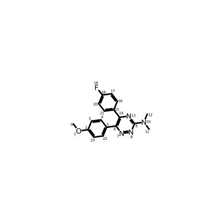 COc1ccc(-c2nnc(N(C)C)nc2-c2ccc(F)cc2)cc1